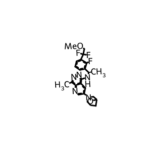 COCC(F)(F)c1cccc([C@@H](C)Nc2nnc(C)c3ncc(N4CC5CC(C4)O5)cc23)c1F